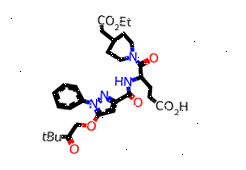 CCOC(=O)CC1CCN(C(=O)C(CCC(=O)O)NC(=O)c2cc(OCC(=O)C(C)(C)C)n(-c3ccccc3)n2)CC1